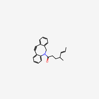 CC=CC(C)CCC(=O)N1Cc2ccccc2C#Cc2ccccc21